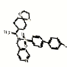 COc1ccc(-c2ccc(S(=O)(=O)N(Cc3ccncc3)C(C(=O)O)C3CCC4(CC3)OCCO4)cc2)cc1